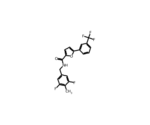 Cc1c(F)cc(CNC(=O)c2ccc(-c3cccc(C(F)(F)F)c3)o2)cc1F